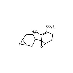 CC1=C(C(=O)O)CCC2OC12C1CCC2OC2C1